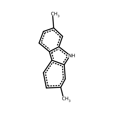 Cc1ccc2c(c1)[nH]c1cc(C)ccc12